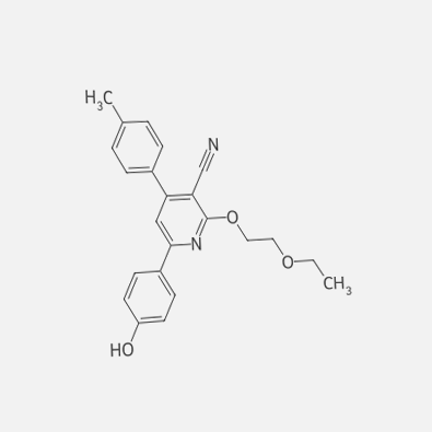 CCOCCOc1nc(-c2ccc(O)cc2)cc(-c2ccc(C)cc2)c1C#N